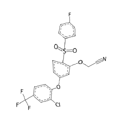 N#CCOc1cc(Oc2ccc(C(F)(F)F)cc2Cl)ccc1S(=O)(=O)c1ccc(F)cc1